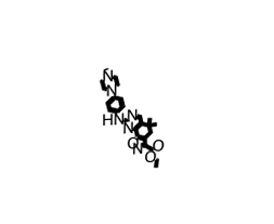 CCOC(=O)c1noc2c1CC(C)(C)c1cnc(Nc3ccc(N4CCN(C)CC4)cc3)nc1-2